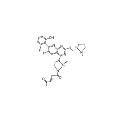 CC(=O)/C=C/C(=O)N1CCN(c2nc(OC[C@@H]3CCCN3C)nc3nc(-c4c(O)cccc4F)c(F)cc23)[C@@H](C)C1